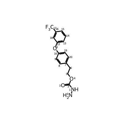 NNC(=O)OCCc1ccc(Oc2cccc(C(F)(F)F)c2)cc1